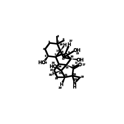 CC1(C)CC[C@H](O)[C@]23CO[C@](O)([C@@H](O)[C@H]12)[C@]12C(=O)C4(CN4)[C@H](CCC31)[C@H]2O